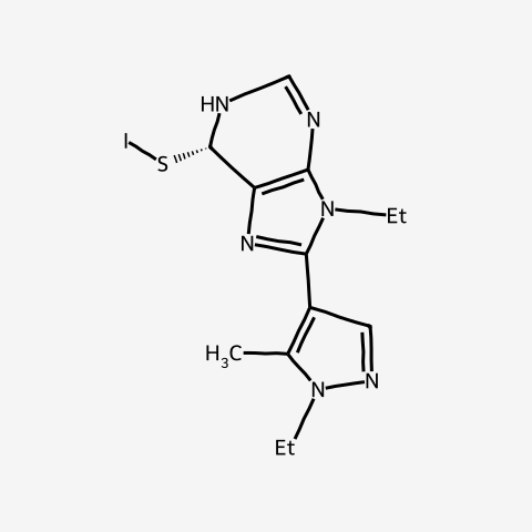 CCn1ncc(-c2nc3c(n2CC)N=CN[C@H]3SI)c1C